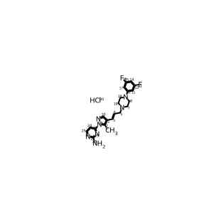 Cc1c(/C=C/CN2CCN(c3cc(F)cc(F)c3)CC2)cnn1-c1ccnc(N)n1.Cl